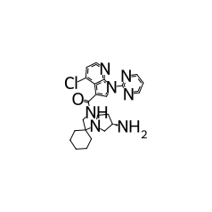 N[C@@H]1CCN(C2(CNC(=O)c3cn(-c4ncccn4)c4nccc(Cl)c34)CCCCC2)C1